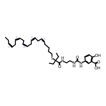 CC/C=C\C/C=C\C/C=C\C/C=C\C/C=C\CCCCSC(CC)(CC)C(=O)NCCNC(=O)Nc1ccc(O)c(C(=O)O)c1